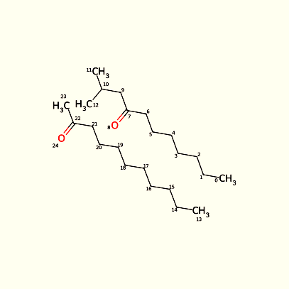 CCCCCCCC(=O)CC(C)C.CCCCCCCCCC(C)=O